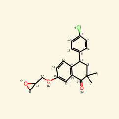 CC1(C)CC(c2ccc(Cl)cc2)c2ccc(OCC3CO3)cc2C1=O